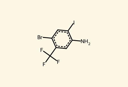 Nc1cc(C(F)(F)F)c(Br)cc1I